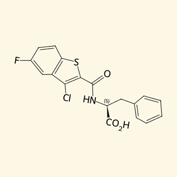 O=C(N[C@@H](Cc1ccccc1)C(=O)O)c1sc2ccc(F)cc2c1Cl